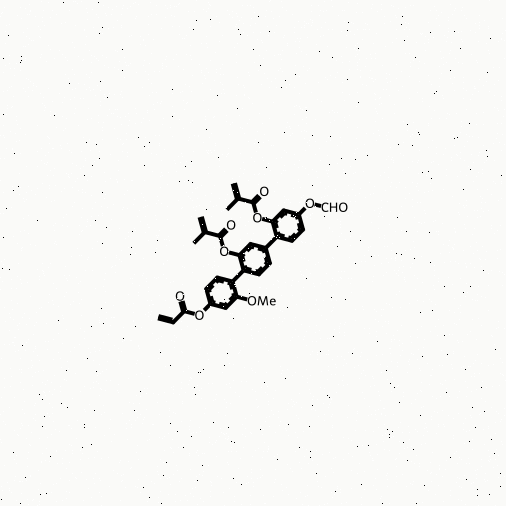 C=CC(=O)Oc1ccc(-c2ccc(-c3ccc(OC=O)cc3OC(=O)C(=C)C)cc2OC(=O)C(=C)C)c(OC)c1